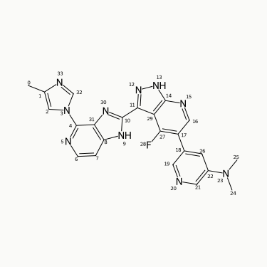 Cc1cn(-c2nccc3[nH]c(-c4n[nH]c5ncc(-c6cncc(N(C)C)c6)c(F)c45)nc23)cn1